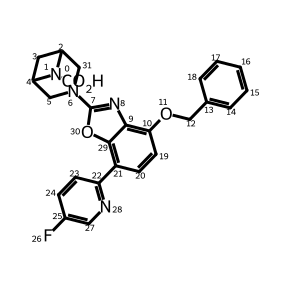 O=C(O)N1C2CC1CN(c1nc3c(OCc4ccccc4)ccc(-c4ccc(F)cn4)c3o1)C2